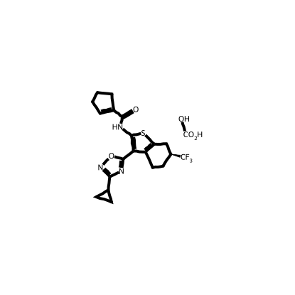 O=C(Nc1sc2c(c1-c1nc(C3CC3)no1)CC[C@H](C(F)(F)F)C2)C1=CCCC1.O=C(O)O